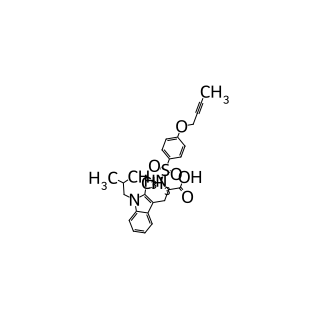 CC#CCOc1ccc(S(=O)(=O)NC(Cc2c(C)n(CC(C)C)c3ccccc23)C(=O)O)cc1